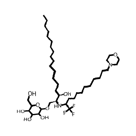 CCCCCCCCCCCCCCC[C@@H](O)[C@H](COC1OC(CO)C(O)C(O)C1O)NC(CCCCCCCCCCN1CCOCC1)C(F)(F)F